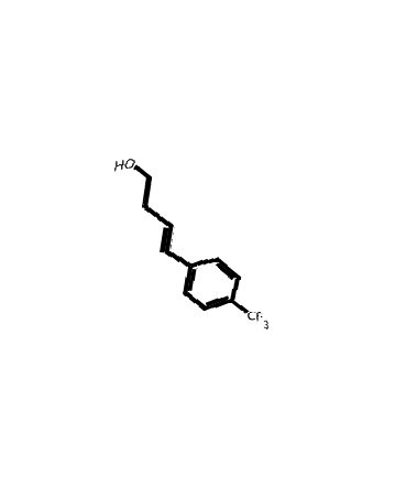 OCCC=Cc1ccc(C(F)(F)F)cc1